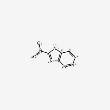 O=[N+]([O-])c1nc2nnncc2[nH]1